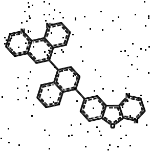 c1cnc2c(c1)cc(-c1ccc(-c3ccc4oc5nccnc5c4c3)c3ccccc13)c1cccnc12